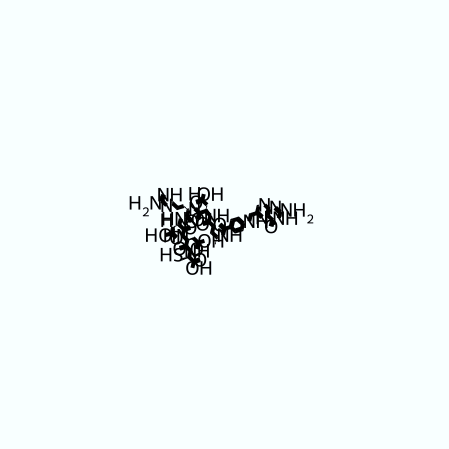 C[C@H](CCC(=O)N[C@@H](CC(=O)O)C(=O)N[C@@H](CCCNC(=N)N)C(=O)N[C@@H](CC(=O)O)C(=O)N[C@@H](CC(=O)O)C(=O)N[C@H](CS)C(=O)O)NC(=O)c1ccc(NCc2cnc3nc(N)[nH]c(=O)c3n2)cc1